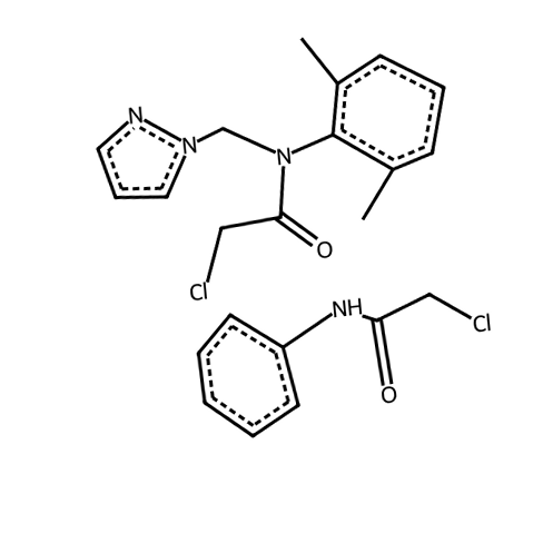 Cc1cccc(C)c1N(Cn1cccn1)C(=O)CCl.O=C(CCl)Nc1ccccc1